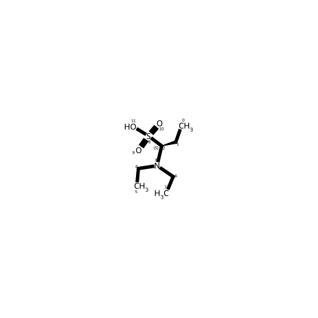 CC[C@@H](N(CC)CC)S(=O)(=O)O